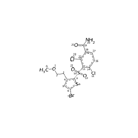 COCCc1cc(Br)sc1S(=O)(=O)c1c(Cl)ccc(C(N)=O)c1Cl